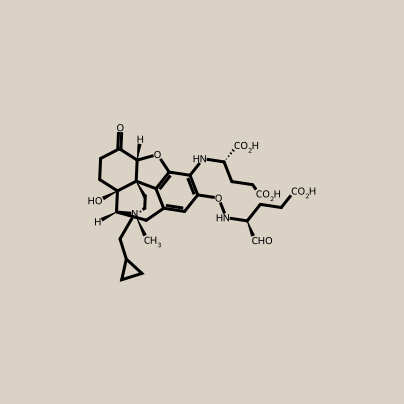 C[N@+]1(CC2CC2)CC[C@]23c4c5cc(ON[C@H](C=O)CCC(=O)O)c(N[C@@H](CCC(=O)O)C(=O)O)c4O[C@H]2C(=O)CC[C@@]3(O)[C@H]1C5